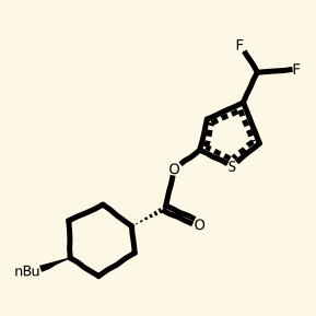 CCCC[C@H]1CC[C@H](C(=O)Oc2cc(C(F)F)cs2)CC1